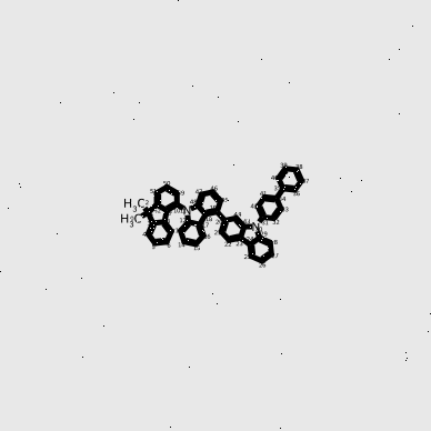 CC1(C)c2ccccc2-c2c(-n3c4ccccc4c4c(-c5ccc6c7ccccc7n(-c7ccc(-c8ccccc8)cc7)c6c5)cccc43)cccc21